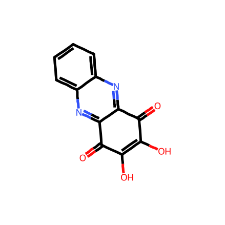 O=C1C(O)=C(O)C(=O)c2nc3ccccc3nc21